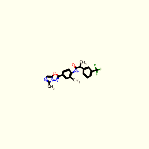 Cc1cc(-c2nn3c(C)ncc3o2)ccc1NC(=O)C(C)c1cccc(C(F)(F)F)c1